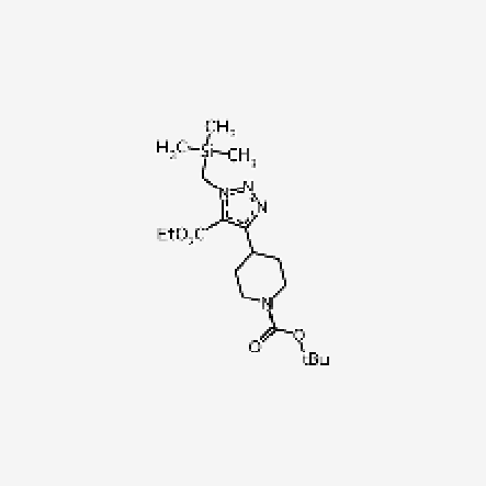 CCOC(=O)c1c(C2CCN(C(=O)OC(C)(C)C)CC2)nnn1C[Si](C)(C)C